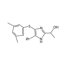 Cc1cc(C)cc(Sc2nc(C(C)O)[nH]c2C(C)C)c1